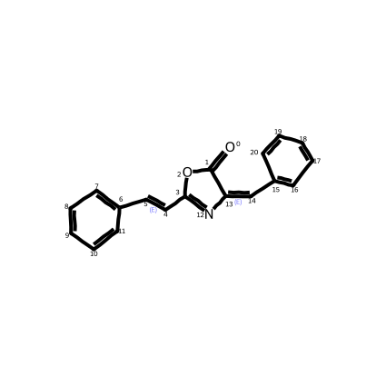 O=C1OC(/C=C/c2ccccc2)=NC/1=C/c1ccccc1